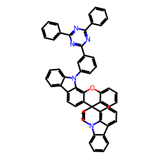 c1ccc(-c2nc(-c3ccccc3)nc(-c3cccc(-n4c5ccccc5c5ccc6c(c54)Oc4ccccc4C64c5ccccc5-n5c6ccccc6c6cccc4c65)c3)n2)cc1